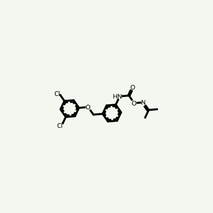 CC(C)=NOC(=O)Nc1cccc(COc2cc(Cl)cc(Cl)c2)c1